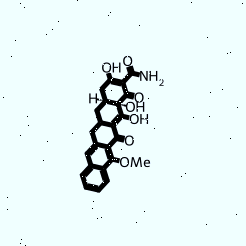 COc1c2c(cc3ccccc13)CC1C[C@H]3CC(O)=C(C(N)=O)C(=O)[C@@]3(O)C(O)=C1C2=O